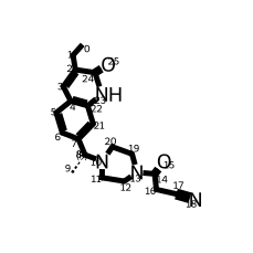 CCc1cc2ccc([C@@H](C)N3CCN(C(=O)CC#N)CC3)cc2[nH]c1=O